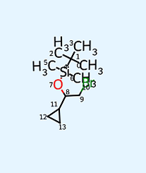 CC(C)(C)[Si](C)(C)OC(CBr)C1CC1